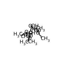 CCCCCOC(=O)OC(C)CN[C@@H](Cc1ccc(OC(=O)OCC(C)C)c(OC(=O)OCC(C)C)c1)C(=O)O